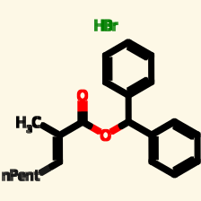 Br.CCCCCC=C(C)C(=O)OC(c1ccccc1)c1ccccc1